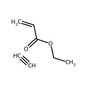 C#C.C=CC(=O)OCC